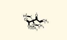 C=CC(=O)[C@](CS)(C(=O)O)N(C)C